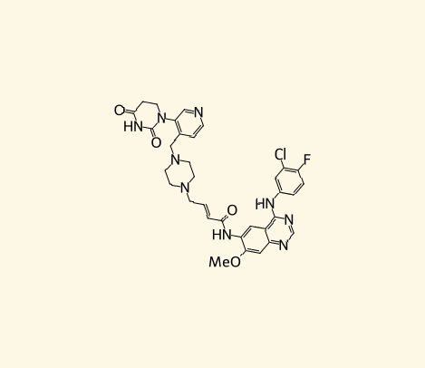 COc1cc2ncnc(Nc3ccc(F)c(Cl)c3)c2cc1NC(=O)/C=C/CN1CCN(Cc2ccncc2N2CCC(=O)NC2=O)CC1